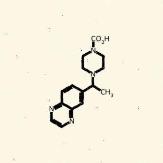 CC(c1ccc2nccnc2c1)N1CCN(C(=O)O)CC1